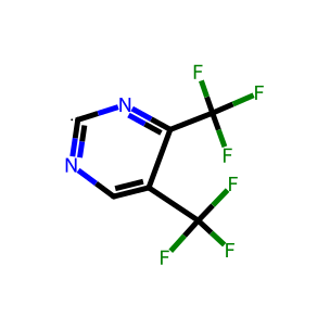 FC(F)(F)c1cn[c]nc1C(F)(F)F